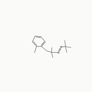 Cc1ccccc1CC(C)(C)N=NC(C)(C)C